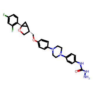 NNC(=O)Nc1ccc(N2CCN(c3ccc(OC[C@@H]4CO[C@]5(c6ccc(F)cc6F)CC45)cc3)CC2)cc1